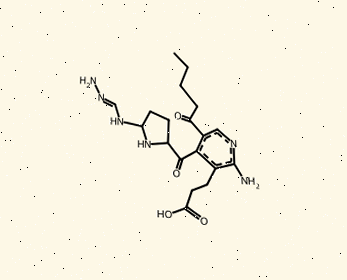 CCCCC(=O)c1cnc(N)c(CCC(=O)O)c1C(=O)C1CCC(NC=NN)N1